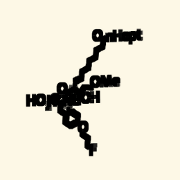 CCCCCCCC(=O)CCCCCCC=C[C@H](C(=O)N[C@@H](Cc1ccc(OCCCF)cc1)C(=O)O)[C@@](O)(CCOC)C(=O)O